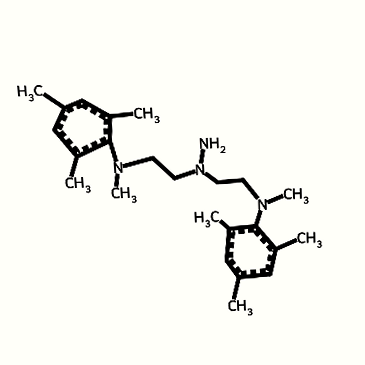 Cc1cc(C)c(N(C)CCN(N)CCN(C)c2c(C)cc(C)cc2C)c(C)c1